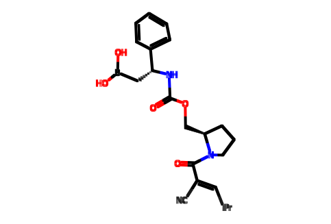 CC(C)C=C(C#N)C(=O)N1CCC[C@@H]1COC(=O)N[C@H](CB(O)O)c1ccccc1